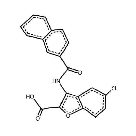 O=C(Nc1c(C(=O)O)oc2ccc(Cl)cc12)c1ccc2ccccc2c1